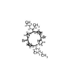 CCCCC(CC)c1c2nc(c(Br)c3ccc([nH]3)c(C(CC)CCCC)c3nc(c(Br)c4ccc1[nH]4)C=C3)C=C2